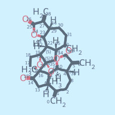 C=C1CC[C@H]2C(=C)C(=O)O[C@@H]2C2[C@H]1CC(=O)[C@]21CC[C@]2(OC)[C@@H]3[C@H]4OC(=O)C(=C)[C@@H]4CCC(=C)[C@@H]3C[C@@]21OC